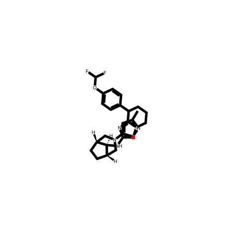 Cc1cc(N2C[C@H]3CC[C@@H](C2)[C@@H]3Nc2nc3n(n2)CCCC3c2ccc(OC(F)F)cc2)sn1